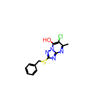 Cc1nc2nc(SCc3ccccc3)nn2c(O)c1Cl